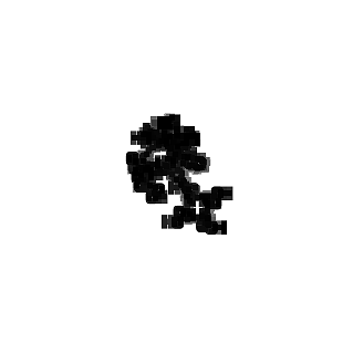 O=C(O)CCC(NC(=O)NC(CCCCNC(=O)C(Cc1c[nH]cn1)NC(=O)C(Cc1c[nH]cn1)NC(=O)C(Cc1c[nH]cn1)NC(=O)C(Cc1ccc2ccccc2c1)NC(=O)C1CCC(CNC(=O)CN2CCN(CC(=O)O)CCN(CC(=O)O)CCN(CC(=O)O)CC2)CC1)C(=O)O)C(=O)O